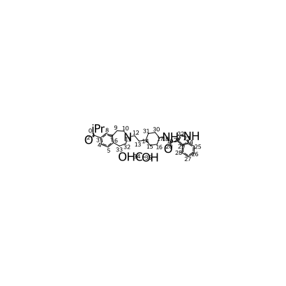 CC(C)C(=O)c1ccc2c(c1)CCN(CCC1CCC(NC(=O)c3c[nH]c4ccccc34)CC1)CC2.O=CO